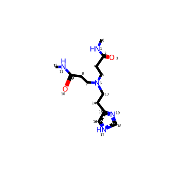 CNC(=O)CCN(CCC(=O)NC)CCc1c[nH]cn1